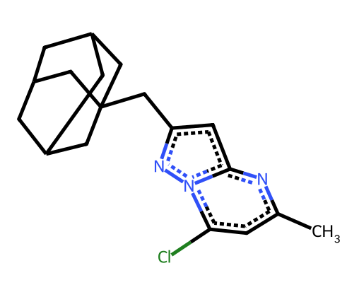 Cc1cc(Cl)n2nc(CC34CC5CC(CC(C5)C3)C4)cc2n1